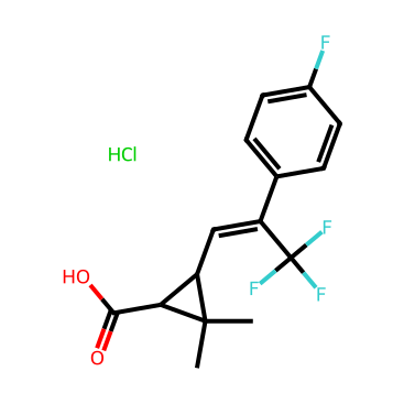 CC1(C)C(C=C(c2ccc(F)cc2)C(F)(F)F)C1C(=O)O.Cl